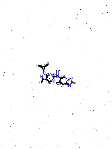 C=C1C(=C)C1n1nc(C)c2cnc(Nc3cn4ncnc4cc3C)nc21